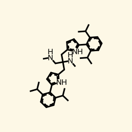 CNCC(Cc1ccc(-c2c(C(C)C)cccc2C(C)C)[nH]1)(Cc1ccc(-c2c(C(C)C)cccc2C(C)C)[nH]1)NC